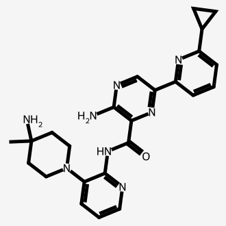 CC1(N)CCN(c2cccnc2NC(=O)c2nc(-c3cccc(C4CC4)n3)cnc2N)CC1